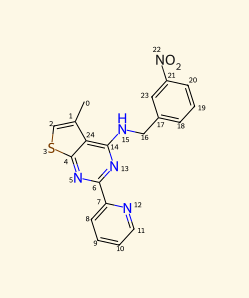 Cc1csc2nc(-c3ccccn3)nc(NCc3cccc([N+](=O)[O-])c3)c12